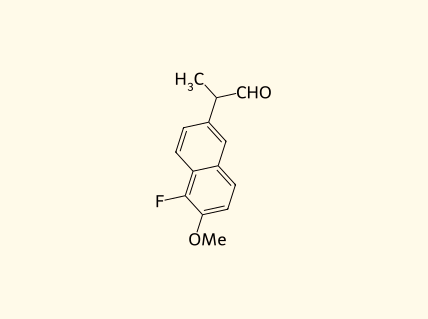 COc1ccc2cc(C(C)C=O)ccc2c1F